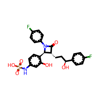 O=C1[C@H](CC[C@H](O)c2ccc(F)cc2)[C@@H](c2ccc(NS(=O)(=O)O)cc2O)N1c1ccc(F)cc1